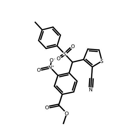 COC(=O)c1ccc(C(c2ccsc2C#N)S(=O)(=O)c2ccc(C)cc2)c([N+](=O)[O-])c1